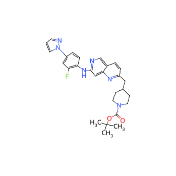 CC(C)(C)OC(=O)N1CCC(Cc2ccc3cnc(Nc4ccc(-n5cccn5)cc4F)cc3n2)CC1